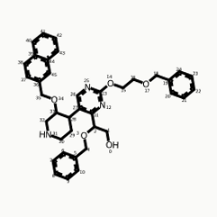 OCC(OCc1ccccc1)c1nc(OCCOCc2ccccc2)ncc1C1CCNCC1OCc1ccc2ccccc2c1